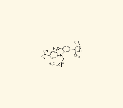 Cc1ccc(-c2c(C)noc2C)cc1N(C[C@H]1C[C@@H]1C)c1ccc(C2(C#N)CC2)cc1